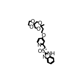 CC1(CCOc2ccnc(C[S+]([O-])c3nc4ccccc4[nH]3)c2)OCC2(CO1)OCCO2